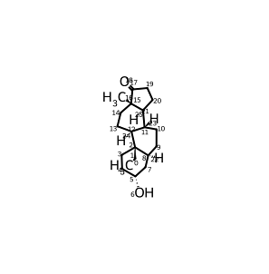 CC[C@]12CC[C@@H](O)C[C@@H]1CC[C@@H]1[C@@H]2CC[C@]2(C)C(=O)CC[C@@H]12